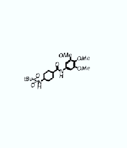 COc1cc(NC(=O)C2CCC(NS(=O)(=O)C(C)(C)C)CC2)cc(OC)c1OC